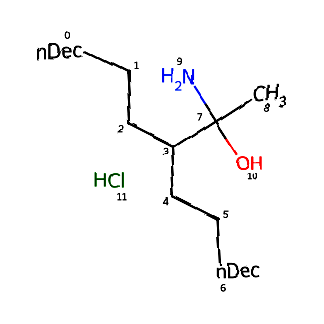 CCCCCCCCCCCCC(CCCCCCCCCCCC)C(C)(N)O.Cl